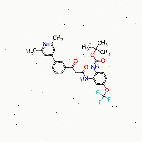 Cc1cc(-c2cccc(C(=O)CC(=O)Nc3cc(OC(F)(F)F)ccc3NC(=O)OC(C)(C)C)c2)cc(C)n1